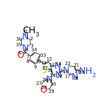 CN1CCN(C(=O)c2ccc(-c3cc4nc(N5C=NC(N)=CC5)nc(N5CCOCC5)c4s3)cc2)CC1